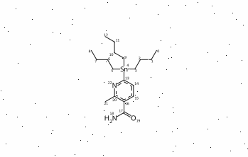 CCC[CH2][Sn]([CH2]CCC)([CH2]CCC)[c]1ccc(C(N)=O)c(C)n1